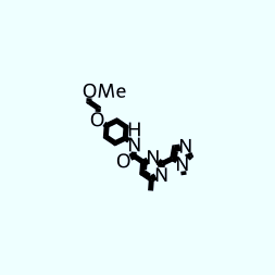 COCCOC1CCC(NC(=O)c2cc(C)nc(-c3cncn3C)n2)CC1